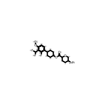 CCCC1CCC(C(=O)OC2CCC(c3ccc(OCC)c(C(F)F)c3F)CC2)OC1